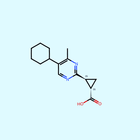 Cc1nc([C@H]2C[C@@H]2C(=O)O)ncc1C1CCCCC1